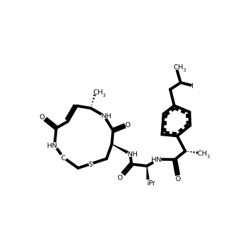 CC(I)Cc1ccc([C@H](C)C(=O)N[C@H](C(=O)N[C@H]2CSCCNC(=O)/C=C/[C@H](C)NC2=O)C(C)C)cc1